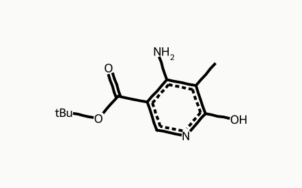 Cc1c(O)ncc(C(=O)OC(C)(C)C)c1N